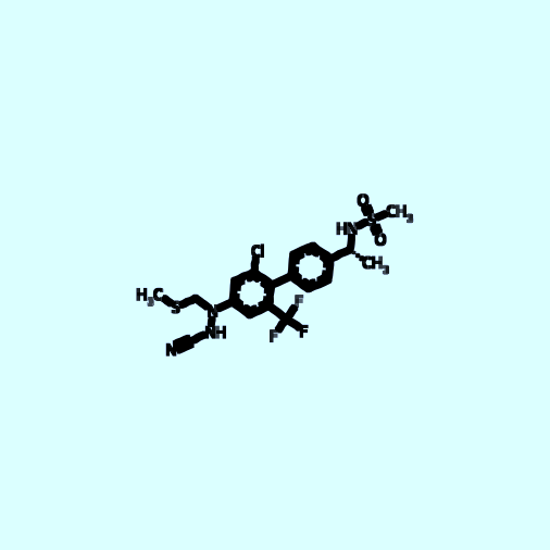 CSCN(NC#N)c1cc(Cl)c(-c2ccc([C@@H](C)NS(C)(=O)=O)cc2)c(C(F)(F)F)c1